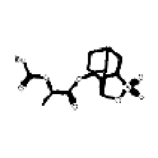 CCC(C)C(=O)OC(C)C(=O)OC1C2CCC3C1OS(=O)(=O)C3C2